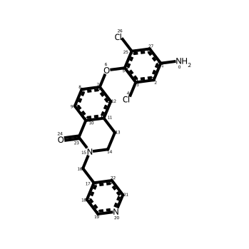 Nc1cc(Cl)c(Oc2ccc3c(c2)CCN(Cc2ccncc2)C3=O)c(Cl)c1